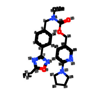 CON(Cc1ccc(-c2noc(C(F)(F)F)n2)cc1)C(=O)OCc1ccc(N2CCCC2)nc1